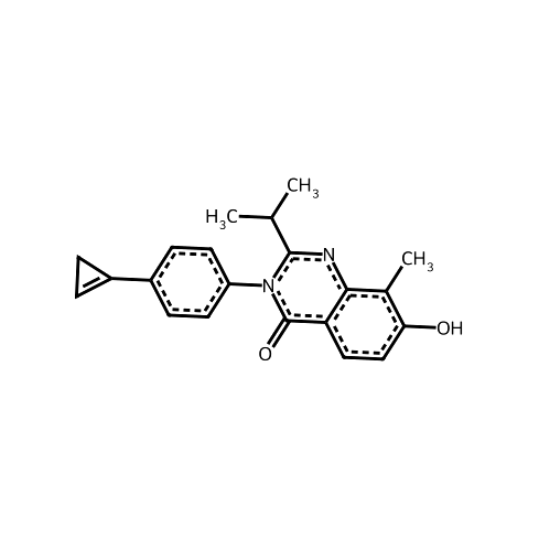 Cc1c(O)ccc2c(=O)n(-c3ccc(C4=CC4)cc3)c(C(C)C)nc12